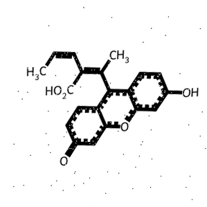 C/C=C\C(C(=O)O)=C(/C)c1c2ccc(=O)cc-2oc2cc(O)ccc12